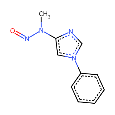 CN(N=O)c1cn(-c2ccccc2)cn1